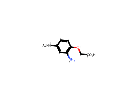 CC(=O)Nc1ccc(OCC(=O)O)c(N)c1